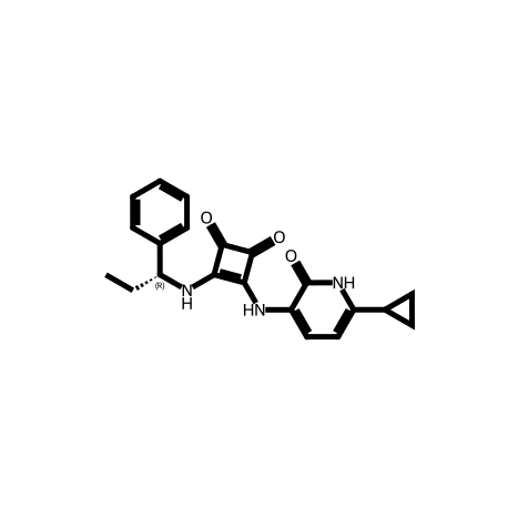 CC[C@@H](Nc1c(Nc2ccc(C3CC3)[nH]c2=O)c(=O)c1=O)c1ccccc1